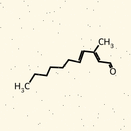 CCCCCCC=CC(C)=CC=O